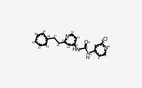 O=C(Nc1ccnc(Cl)c1)Nc1ccnc(CCc2ccccc2)c1